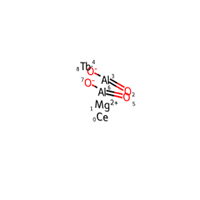 [Ce].[Mg+2].[O]=[Al][O-].[O]=[Al][O-].[Tb]